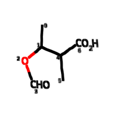 CC(OC=O)C(C)C(=O)O